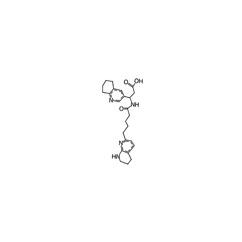 O=C(O)CC(NC(=O)CCCCc1ccc2c(n1)NCCC2)c1cnc2c(c1)CCCC2